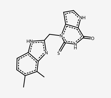 Cc1ccc2[nH]c(Cn3c(=S)[nH]c(=O)c4[nH]ccc43)nc2c1C